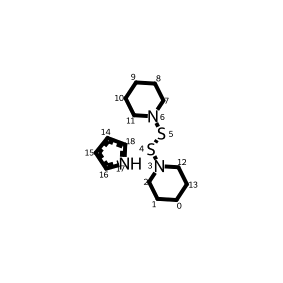 C1CCN(SSN2CCCCC2)CC1.c1cc[nH]c1